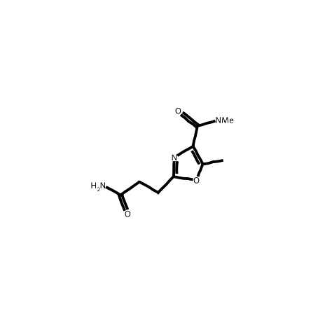 CNC(=O)c1nc([CH]CC(N)=O)oc1C